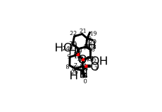 C=C1C(=O)[C@]23[C@H](C)[C@H]1CC[C@H]2[C@@]12CO[C@@]3(O)C[C@@H]1C(C)(C)CC[C@@H]2O